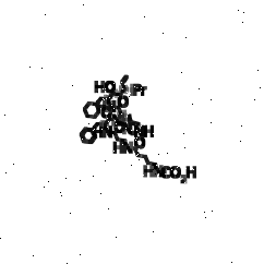 C=C[C@@H](C[C@@H](O)[C@H](CC1CCCCC1)NC(=O)[C@H](Cc1c[nH]cn1)NC(=O)[C@H](Cc1ccccc1)NC(=O)CCNC(=O)CCCCNC(=O)O)C(C)C